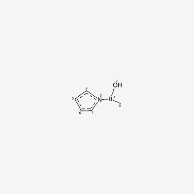 CB(O)n1cccc1